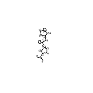 CC(C)C1CCN(C(=O)CC2CCOC2)C1